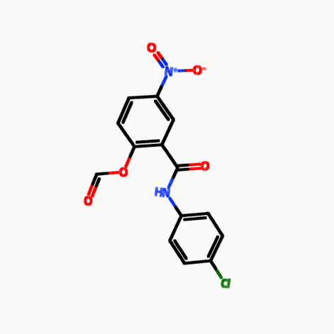 O=COc1ccc([N+](=O)[O-])cc1C(=O)Nc1ccc(Cl)cc1